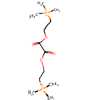 C[PH](C)(C)CCOC(=O)C(=O)OCC[PH](C)(C)C